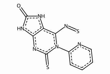 O=c1[nH]c2nc(=S)n(-c3ccccn3)c(N=S)c2[nH]1